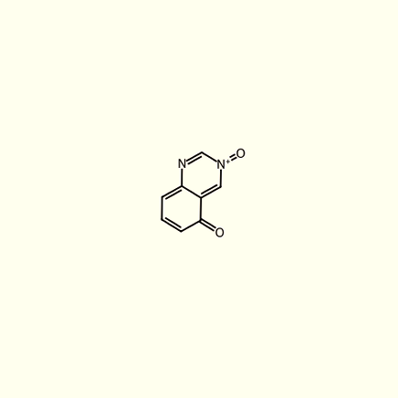 O=C1C=CC=C2N=C[N+](=O)C=C12